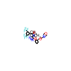 CN(C(=O)C(C)(C)c1cc(C(F)(F)F)cc(C(F)(F)F)c1)c1cncnc1Oc1ccccc1COCCN1CCOCC1